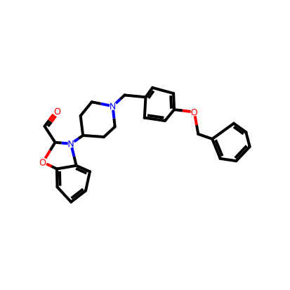 O=CC1Oc2ccccc2N1C1CCN(Cc2ccc(OCc3ccccc3)cc2)CC1